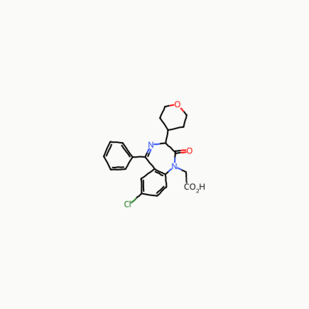 O=C(O)CN1C(=O)C(C2CCOCC2)N=C(c2ccccc2)c2cc(Cl)ccc21